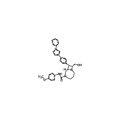 COc1ccc(NC(=O)N2CCCCN3[C@H](CO)[C@H](c4ccc(-c5ccn(-c6ccccc6)c5)cc4)[C@@H]3C2)cc1